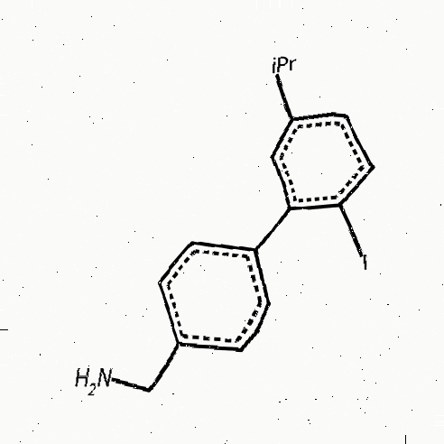 CC(C)c1ccc(I)c(-c2ccc(CN)cc2)c1